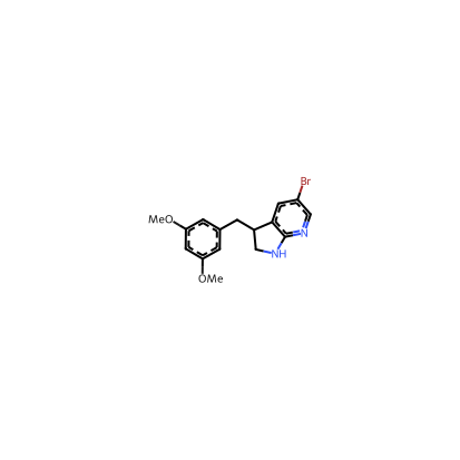 COc1cc(CC2CNc3ncc(Br)cc32)cc(OC)c1